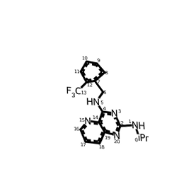 CC(C)Nc1nc(NCc2ccccc2C(F)(F)F)c2ncccc2n1